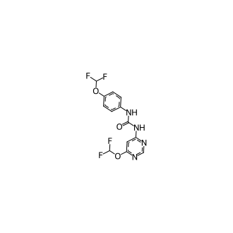 O=C(Nc1ccc(OC(F)F)cc1)Nc1cc(OC(F)F)ncn1